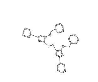 c1ccc(COn2cc(-c3ccccc3)nc2SSc2nc(-c3ccccc3)cn2OCc2ccccc2)cc1